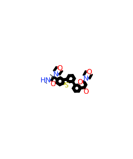 CNC(=O)[C@](C)(c1ccc2sc3c(-c4cccc5c(=O)cc(N6CCOCC6)oc45)cccc3c2c1)N1CCOCC1